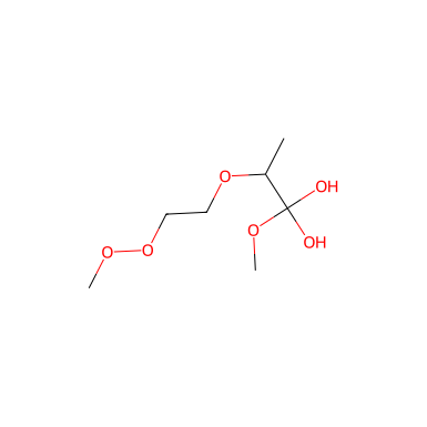 COOCCOC(C)C(O)(O)OC